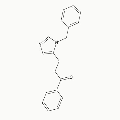 O=C(CCc1cncn1Cc1ccccc1)c1ccccc1